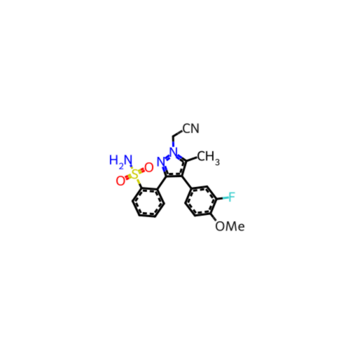 COc1ccc(-c2c(-c3ccccc3S(N)(=O)=O)nn(CC#N)c2C)cc1F